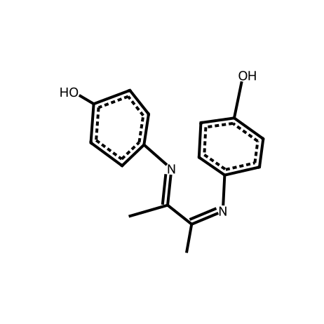 CC(=Nc1ccc(O)cc1)C(C)=Nc1ccc(O)cc1